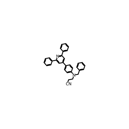 N#CCCN(Cc1ccccc1)c1ccc(-c2cc(-c3ccccc3)nc(-c3ccccc3)c2)cc1